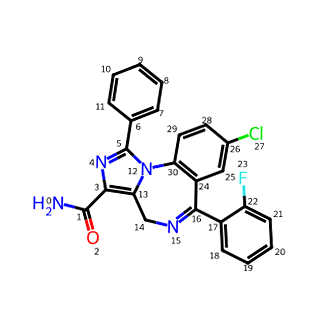 NC(=O)c1nc(-c2ccccc2)n2c1CN=C(c1ccccc1F)c1cc(Cl)ccc1-2